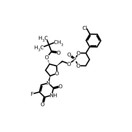 CC(C)(C)C(=O)O[C@H]1C[C@H](n2cc(F)c(=O)[nH]c2=O)O[C@@H]1COP1(=O)OCCC(c2cccc(Cl)c2)O1